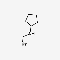 CC(C)CN[C]1CCCC1